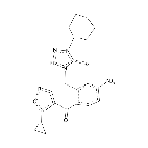 O=C(c1ccc([N+](=O)[O-])cc1Cn1nnn(C2CCCCC2)c1=O)c1cnoc1C1CC1